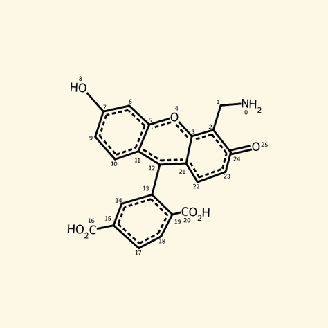 NCc1c2oc3cc(O)ccc3c(-c3cc(C(=O)O)ccc3C(=O)O)c-2ccc1=O